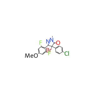 COc1cc(F)c(C2=NN(C)C(=O)C2(Br)c2ccc(Cl)cc2)c(F)c1